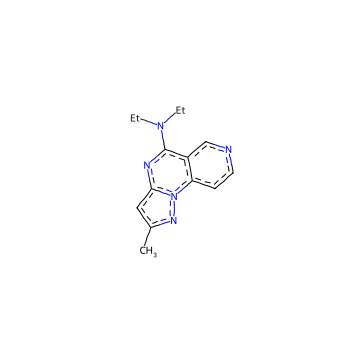 CCN(CC)c1nc2cc(C)nn2c2ccncc12